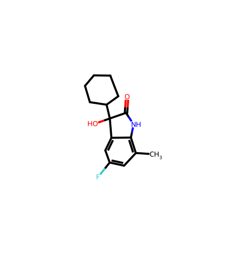 Cc1cc(F)cc2c1NC(=O)C2(O)C1CCCCC1